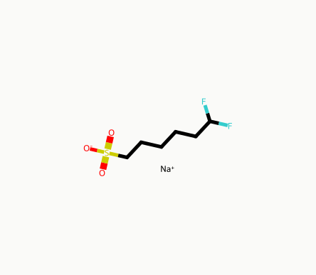 O=S(=O)([O-])CCCCCC(F)F.[Na+]